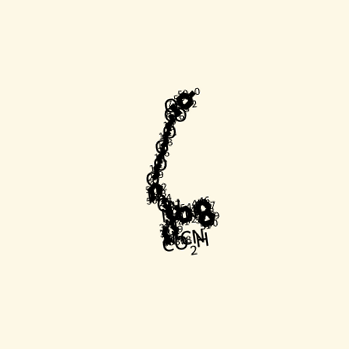 Cc1ccc(S(=O)(=O)OCCOCCOCCOCCO[C@@H]2C[C@@H](COc3nc4c(c(N5CCN(C(=O)O)[C@@H](CC#N)C5)n3)CCN(c3cccc5ccccc35)C4)N(C)C2)cc1